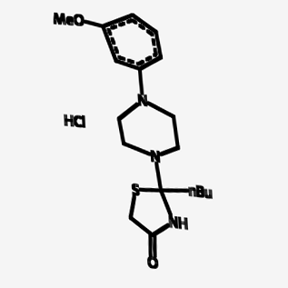 CCCCC1(N2CCN(c3cccc(OC)c3)CC2)NC(=O)CS1.Cl